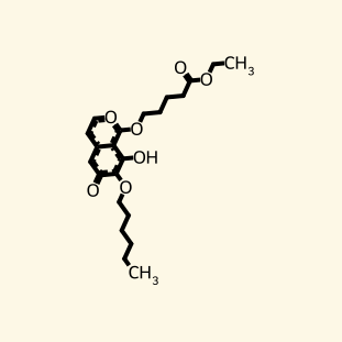 CCCCCCOc1c(O)c2c(OCCCCC(=O)OCC)occc-2cc1=O